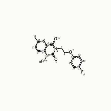 CCCn1c(=O)n(CCOc2ccc(F)cc2)c(=O)c2cc(C)ccc21